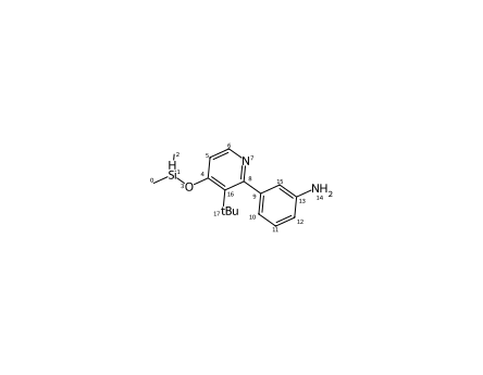 C[SiH](C)Oc1ccnc(-c2cccc(N)c2)c1C(C)(C)C